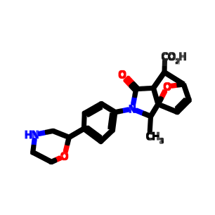 CC1N(c2ccc(C3CNCCO3)cc2)C(=O)C2C(C(=O)O)C3C=CC21O3